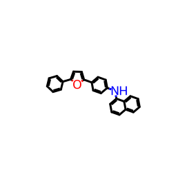 c1ccc(-c2ccc(-c3ccc(Nc4cccc5ccccc45)cc3)o2)cc1